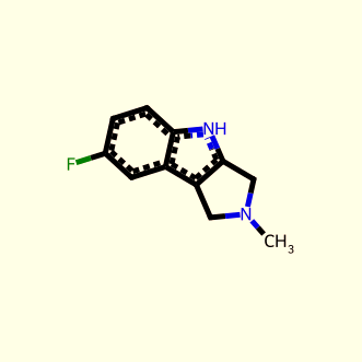 CN1Cc2[nH]c3ccc(F)cc3c2C1